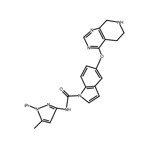 Cc1cc(NC(=O)n2ccc3cc(Oc4ncnc5c4CCNC5)ccc32)nn1C(C)C